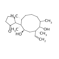 C=C[C@@]1(C)C[C@@H](O)[C@@](C)(C2CCCC2=O)[C@H](C)CCCC(C)C1O